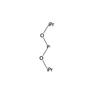 CC(C)O[P]OC(C)C